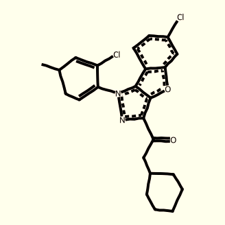 CC1C=C(Cl)C(n2nc(C(=O)CC3CCCCC3)c3oc4cc(Cl)ccc4c32)=CC1